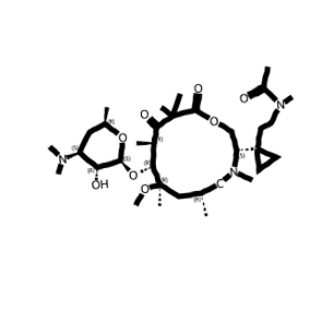 CO[C@]1(C)C[C@@H](C)CN(C)[C@@H](C2(CCN(C)C(C)=O)CC2)COC(=O)C(C)(C)C(=O)[C@H](C)[C@H]1O[C@@H]1O[C@H](C)C[C@H](N(C)C)[C@H]1O